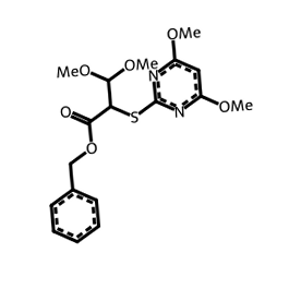 COc1cc(OC)nc(SC(C(=O)OCc2ccccc2)C(OC)OC)n1